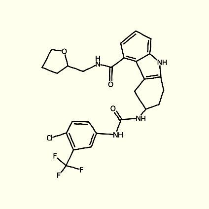 O=C(Nc1ccc(Cl)c(C(F)(F)F)c1)NC1CCc2[nH]c3cccc(C(=O)NCC4CCCO4)c3c2C1